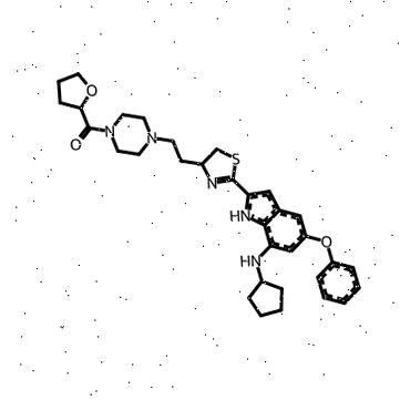 O=C(C1CCCO1)N1CCN(CCC2CSC(c3cc4cc(Oc5ccccc5)cc(NC5CCCC5)c4[nH]3)=N2)CC1